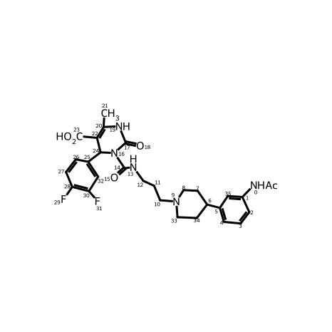 CC(=O)Nc1cccc(C2CCN(CCCNC(=O)N3C(=O)NC(C)=C(C(=O)O)C3c3ccc(F)c(F)c3)CC2)c1